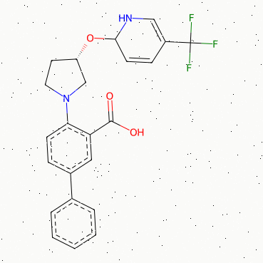 O=C(O)c1cc(-c2ccccc2)ccc1N1CC[C@H](OC2C=CC(C(F)(F)F)=CN2)C1